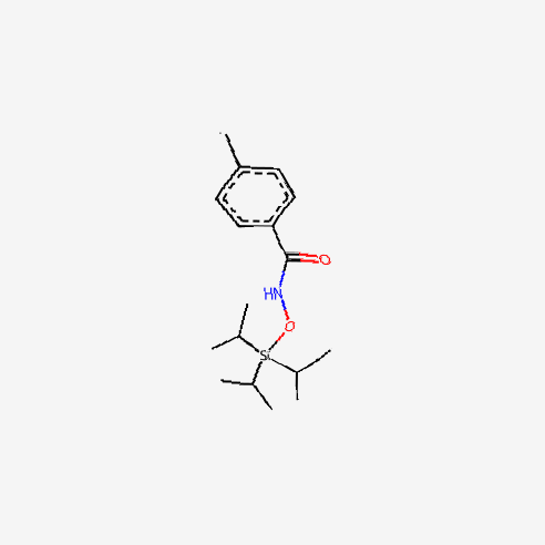 [CH2]c1ccc(C(=O)NO[Si](C(C)C)(C(C)C)C(C)C)cc1